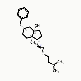 CN(C)CCO/N=C/[C@H]1CC[C@]2(O)C[C@@H](Cc3ccccc3)CC[C@]12C